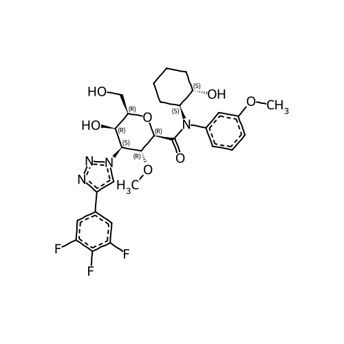 COc1cccc(N(C(=O)[C@@H]2O[C@H](CO)[C@H](O)[C@H](n3cc(-c4cc(F)c(F)c(F)c4)nn3)[C@H]2OC)[C@H]2CCCC[C@@H]2O)c1